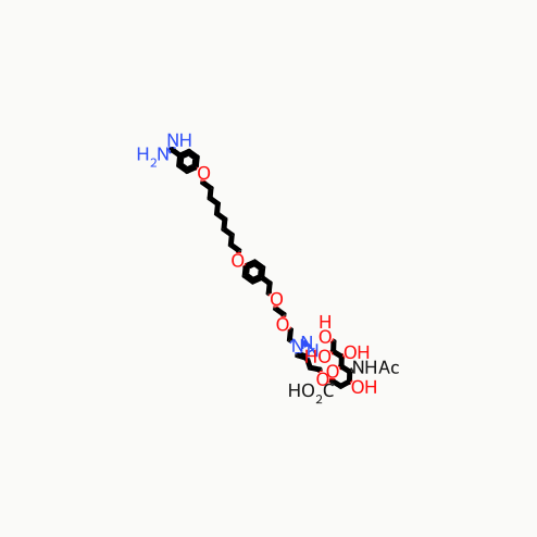 CC(=O)NC1C(O)CC(OCCc2cn(CCOCCOCCc3ccc(OCCCCCCCCCCOc4ccc(C(=N)N)cc4)cc3)nn2)(C(=O)O)OC1C(O)C(O)CO